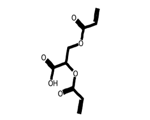 C=CC(=O)OCC(OC(=O)C=C)C(=O)O